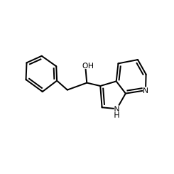 OC(Cc1ccccc1)c1c[nH]c2ncccc12